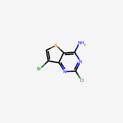 Nc1nc(Cl)nc2c(Br)csc12